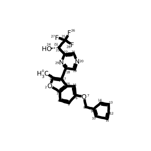 Cc1oc2ccc(OCc3ccccc3)cc2c1-c1cncc([C@H](O)C(F)(F)F)n1